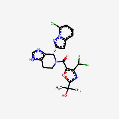 CC(C)(O)c1nc(C(F)F)c(C(=O)N2CCc3[nH]cnc3[C@@H]2c2cc3cccc(Cl)n3n2)o1